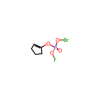 O=P(OF)(OBr)OC1=CCCC1